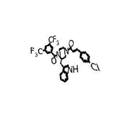 O=C(C=Cc1ccc(Cl)cc1)N1CCN(C(=O)c2cc(C(F)(F)F)cc(C(F)(F)F)c2)[C@H](Cc2c[nH]c3ccccc23)C1